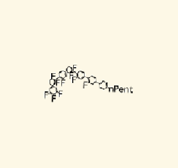 CCCCCc1ccc(-c2ccc(-c3ccc(C(F)(F)Oc4ccc(C(F)(F)Oc5cc(F)c(F)c(F)c5)c(F)c4)c(F)c3)c(F)c2)cc1